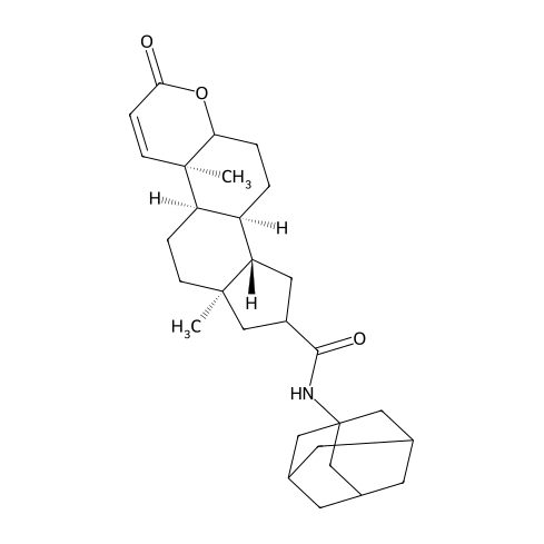 C[C@]12CC[C@@H]3[C@@H](CCC4OC(=O)C=C[C@@]43C)[C@@H]1CC(C(=O)NC13CC4CC(CC(C4)C1)C3)C2